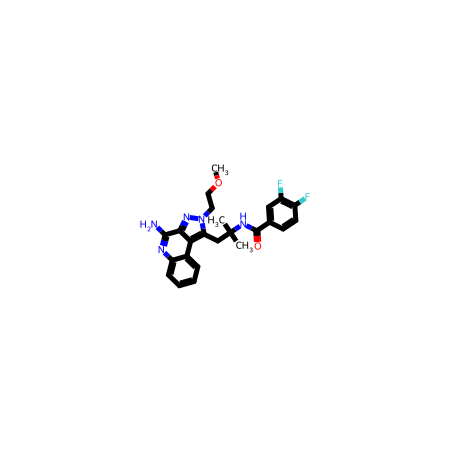 COCCn1nc2c(N)nc3ccccc3c2c1CC(C)(C)NC(=O)c1ccc(F)c(F)c1